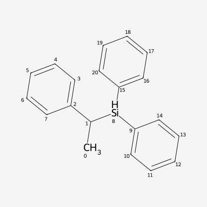 CC(c1ccccc1)[SiH](c1ccccc1)c1ccccc1